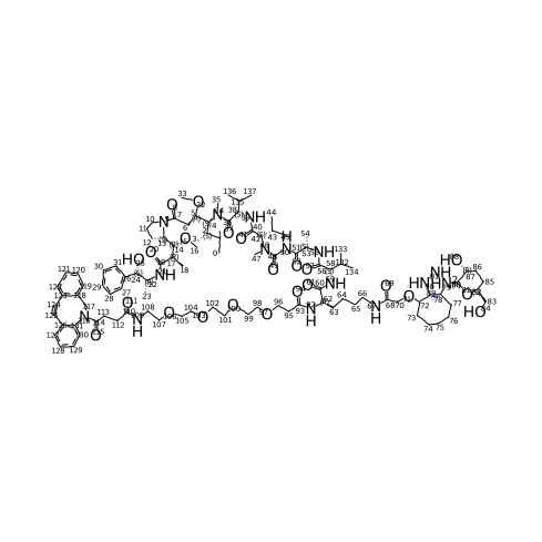 CC[C@H](C)[C@@H]([C@@H](CC(=O)N1CCC[C@H]1[C@H](OC)[C@@H](C)C(=O)N[C@H](C)[C@@H](O)c1ccccc1)OC)N(C)C(=O)[C@@H](NC(=O)[C@H](C(C)C)N(C)C(=O)NC(=O)[C@H](C)NC(=O)[C@@H](NC(=O)[C@@H](CCCCNC(=O)COC1CCCCC/C(N[C@@H]2O[C@H](CO)CC[C@H]2O)=C\1NN)NC(=O)CCOCCOCCOCCOCCNC(=O)CCC(=O)N1Cc2ccccc2C#Cc2ccccc21)C(C)C)C(C)C